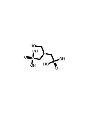 O=P(O)(O)CN(CO)CP(=O)(O)O